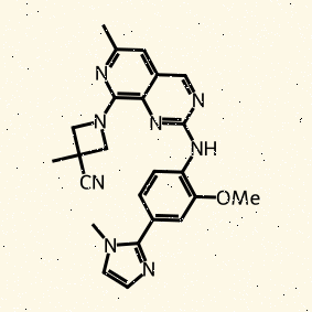 COc1cc(-c2nccn2C)ccc1Nc1ncc2cc(C)nc(N3CC(C)(C#N)C3)c2n1